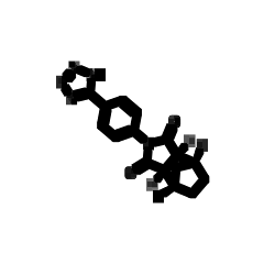 O=C1[C@@H]2[C@@H]3CC[C@@H](C3)[C@@H]2C(=O)N1c1ccc(-c2nnn[nH]2)cc1